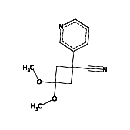 COC1(OC)CC(C#N)(c2cccnc2)C1